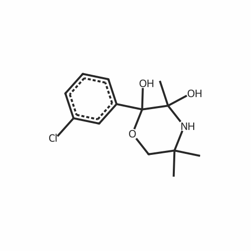 CC1(C)COC(O)(c2cccc(Cl)c2)C(C)(O)N1